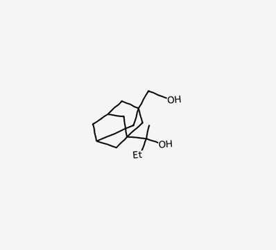 CCC(C)(O)C12CC3CC(CC(CO)(C3)C1)C2